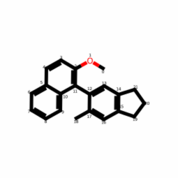 COc1ccc2ccccc2c1-c1cc2c(cc1C)CCC2